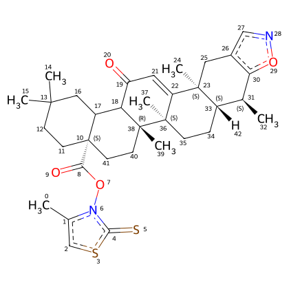 Cc1csc(=S)n1OC(=O)[C@]12CCC(C)(C)CC1C1C(=O)C=C3[C@@]4(C)Cc5cnoc5[C@@H](C)[C@@H]4CC[C@@]3(C)[C@]1(C)CC2